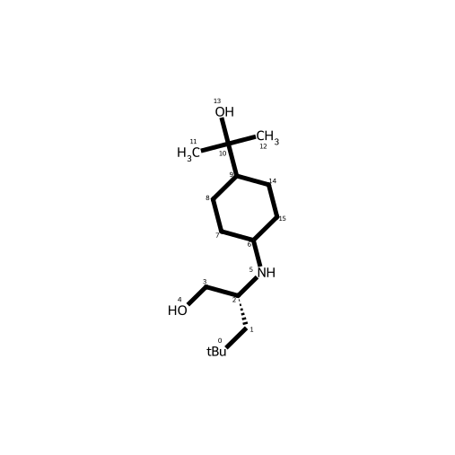 CC(C)(C)C[C@H](CO)NC1CCC(C(C)(C)O)CC1